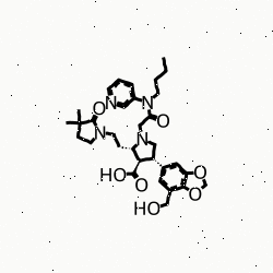 CCCCN(C(=O)CN1C[C@H](c2cc(CO)c3c(c2)OCO3)[C@@H](C(=O)O)[C@@H]1CCN1CCC(C)(C)C1=O)c1cccnc1